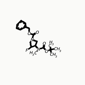 CN(C(=O)OC(C)(C)C)C1CN(C(=O)OCc2ccccc2)CC1F